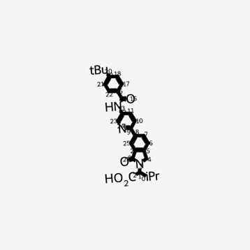 CC(C)C(C(=O)O)N1Cc2ccc(-c3ccc(NC(=O)c4ccc(C(C)(C)C)cc4)cn3)cc2C1=O